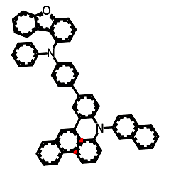 c1ccc(N(c2ccc3ccccc3c2)c2ccc(-c3ccc(N(c4ccccc4)c4cccc5oc6ccccc6c45)cc3)cc2-c2ccc3ccccc3c2)cc1